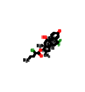 CCCC(Cl)C(=O)O[C@@H]1[C@H](C)C[C@H]2[C@@H]3CC(F)(F)C4=CC(=O)C=C[C@]4(C)[C@H]3[C@@H](O)C[C@]12C